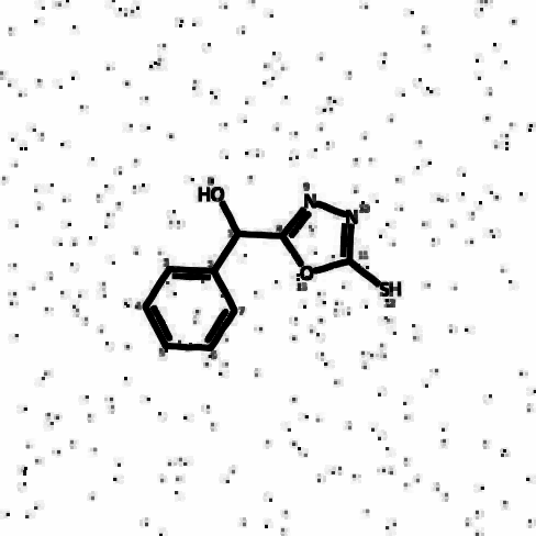 OC(c1ccccc1)c1nnc(S)o1